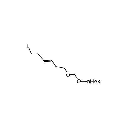 CCCCCCOCOCCC=CCCI